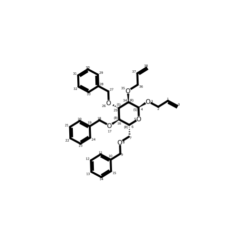 C=CCO[C@H]1O[C@H](COCc2ccccc2)[C@@H](OCc2ccccc2)[C@H](OCc2ccccc2)[C@H]1OCC=C